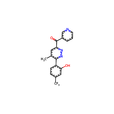 Cc1cc(C(=O)c2cccnc2)nnc1-c1ccc(C(F)(F)F)cc1O